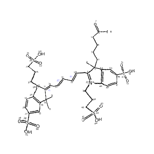 CC1(CCCCC(=O)I)C(/C=C/C=C/C=C2/N(CCCS(=O)(=O)O)c3ccc(S(=O)(=O)O)cc3C2(C)C)=[N+](CCCS(=O)(=O)O)c2ccc(S(=O)(=O)O)cc21